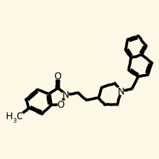 Cc1ccc2c(=O)n(CCC3CCN(Cc4ccc5ccccc5c4)CC3)oc2c1